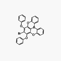 Brc1c(Oc2ccccc2)c2c3c(c1Oc1ccccc1)Oc1ccccc1B3c1ccccc1O2